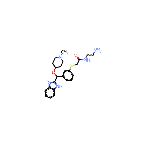 CN1CCC(OC(c2cccc(SCC(=O)NCCN)c2)c2nc3ccccc3[nH]2)CC1